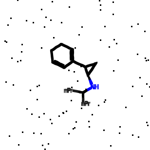 CCCC(CCC)N[C@@H]1CC1C1=CCCC=C1